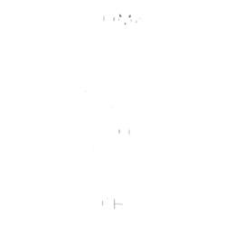 C#CCOc1ccc(OC)cc1